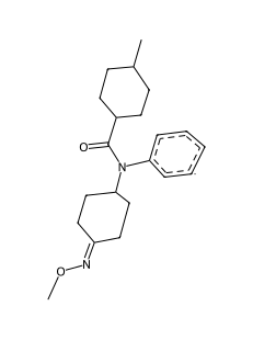 CON=C1CCC(N(C(=O)C2CCC(C)CC2)c2c[c]ccc2)CC1